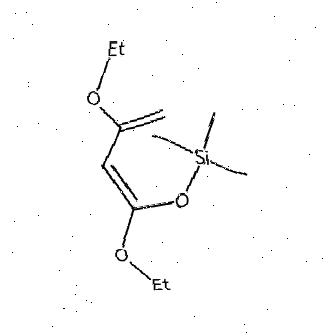 C=C(C=C(OCC)O[Si](C)(C)C)OCC